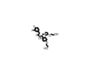 CN(C(=O)Cc1ccc(F)c(F)c1)[C@H](CN1CC[C@H](OCCO)C1)c1ccc(OCCO)cc1